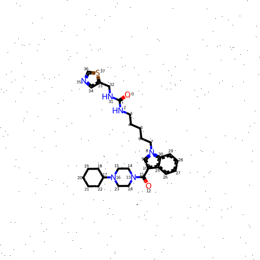 O=C(NCCCCCn1cc(C(=O)N2CCN(C3CCCCC3)CC2)c2ccccc21)NCc1cncs1